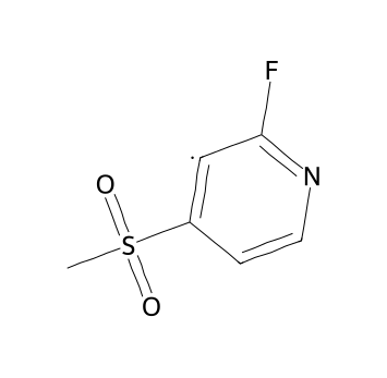 CS(=O)(=O)c1[c]c(F)ncc1